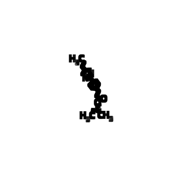 CCCc1cnc(-c2ccc(CCC(=O)OCC(C)CC)cc2)nc1